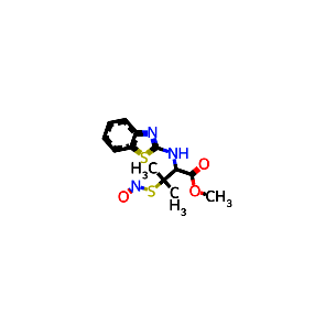 COC(=O)C(Nc1nc2ccccc2s1)C(C)(C)SN=O